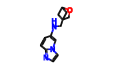 c1cn2cc(NCC34COC(C3)C4)ccc2n1